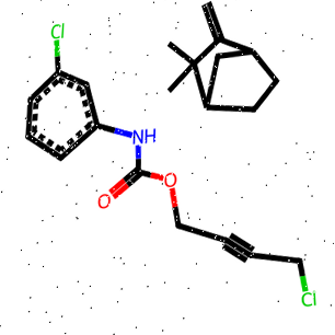 C=C1C2CCC(C2)C1(C)C.O=C(Nc1cccc(Cl)c1)OCC#CCCl